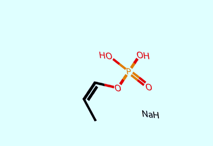 C/C=C\OP(=O)(O)O.[NaH]